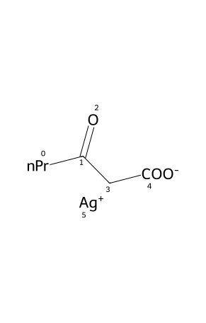 CCCC(=O)CC(=O)[O-].[Ag+]